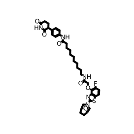 O=C(COc1c(F)ccc2sc(N3CC4CCC(C3)O4)nc12)NCCCCCCCCCCC(=O)Nc1ccc(C2CCC(=O)NC2=O)cc1